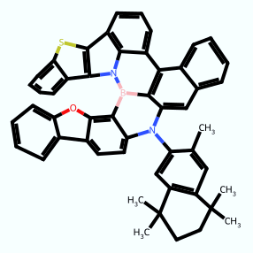 Cc1cc2c(cc1N1c3cc4ccccc4c4c3B(c3c1ccc1c3oc3ccccc31)n1c3c-4cccc3c3sc4ccccc4c31)C(C)(C)CCC2(C)C